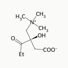 CCC(=O)[C@@](O)(CC(=O)[O-])C[N+](C)(C)C